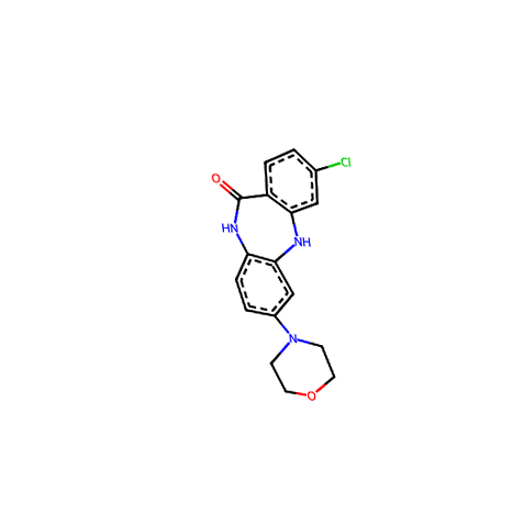 O=C1Nc2ccc(N3CCOCC3)cc2Nc2cc(Cl)ccc21